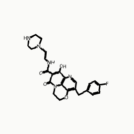 O=C(NCCN1CCNCC1)c1c(O)c2ncc(Cc3ccc(F)cc3)c3c2n(c1=O)CCO3